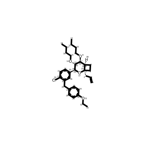 C=CC[C@@]12CC[C@@H]1[C@H](OCCCC)[C@@H](OCCCC)[C@H](c1ccc(Cl)c(Cc3ccc(OCC)cc3)c1)O2